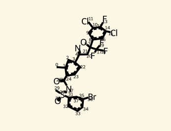 Cc1cc(C2=NOC(c3cc(Cl)c(F)c(Cl)c3)(C(F)(F)F)C2)ccc1C(=O)N=S(C)(=O)c1cccc(Br)c1